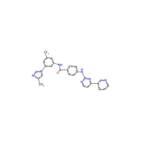 Cc1cn(-c2cc(NC(=O)c3ccc(Nc4nccc(-c5cccnc5)n4)cc3)cc(C(F)(F)F)c2)cn1